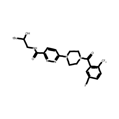 CC(C)(C)C(O)CNC(=O)c1ccc(N2CCN(C(=O)c3cc(F)ccc3C(F)(F)F)CC2)nn1